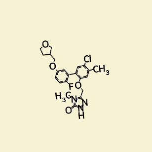 Cc1cc(OCc2n[nH]c(=O)n2C)c(-c2cc(OCC3CCOC3)ccc2F)cc1Cl